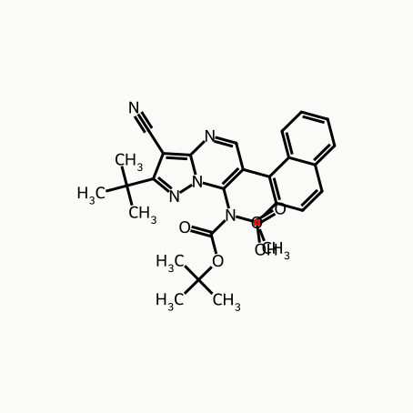 COc1ccc2ccccc2c1-c1cnc2c(C#N)c(C(C)(C)C)nn2c1N(C(=O)O)C(=O)OC(C)(C)C